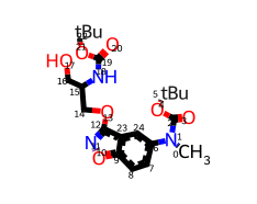 CN(C(=O)OC(C)(C)C)c1ccc2onc(OCC(CO)NC(=O)OC(C)(C)C)c2c1